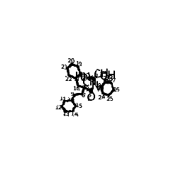 CC(=N)N(C(=O)[C@@](C)(CCC1CCCCC1)CC1CCCCC1)[C@H]1CCCC[C@@H]1O